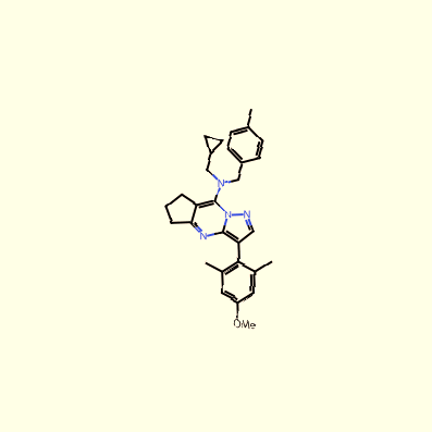 COc1cc(C)c(-c2cnn3c(N(Cc4ccc(C)cc4)CC4CC4)c4c(nc23)CCC4)c(C)c1